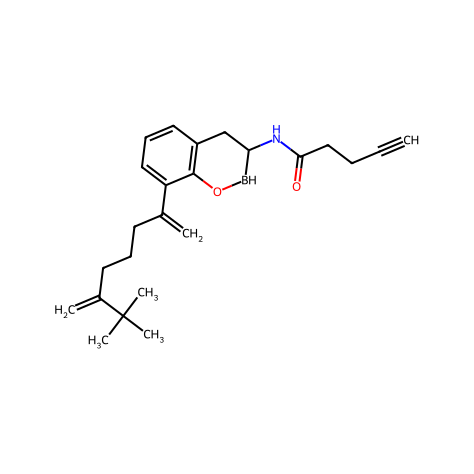 C#CCCC(=O)NC1BOc2c(cccc2C(=C)CCCC(=C)C(C)(C)C)C1